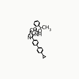 C[C@@H](OC(=O)Nc1c(-c2ccc(-c3ccc(C4CC4)cc3)cc2)ncn1C)c1ccccc1